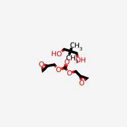 CC(C)(CO)CO.O=C(OCC1CO1)OCC1CO1